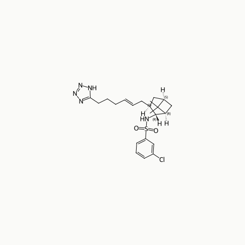 CC1(C)[C@H]2C[C@H](CC=CCCCc3nnn[nH]3)[C@@H](NS(=O)(=O)c3cccc(Cl)c3)[C@@H]1C2